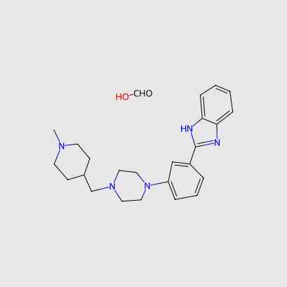 CN1CCC(CN2CCN(c3cccc(-c4nc5ccccc5[nH]4)c3)CC2)CC1.O=CO